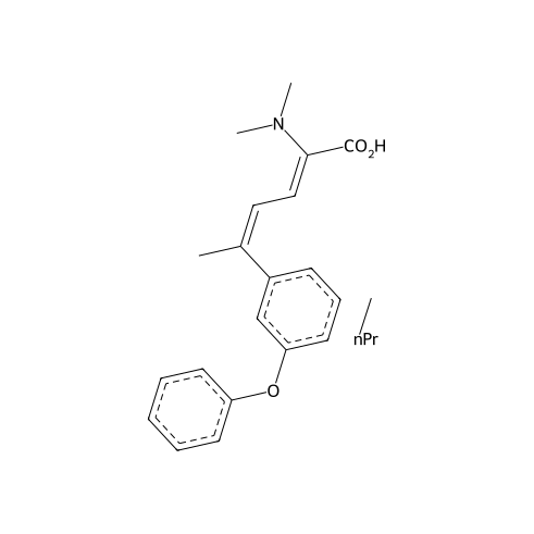 C/C(=C/C=C(/C(=O)O)N(C)C)c1cccc(Oc2ccccc2)c1.CCCC